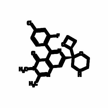 Cc1nc2cc([C@@]3([C@@H]4CCO4)CNCCO3)nc(-c3ccc(Cl)cc3F)c2c(=O)n1C